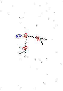 CCCCCC(CCCCC)CC(=O)OCCCCCCCCC1(CCCCCCCCOC(=O)CC(CCCCC)CCCCC)OCC(CCN2CCN(C)CC2)O1